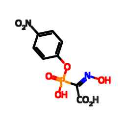 O=C(O)C(=NO)P(=O)(O)Oc1ccc([N+](=O)[O-])cc1